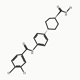 CCNC(=O)[C@H]1CC[C@H](c2ccc(NC(=O)c3ccc(Cl)c(Cl)c3)cc2)CC1